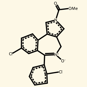 COC(=O)n1cc2c(c1)-c1ccc(Cl)cc1C(c1ccccc1Cl)=[N+]([O-])C2